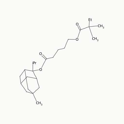 CCC(C)(C)C(=O)OCCCCC(=O)OC1(C(C)C)C2CC3CC1CC(C)(C3)C2